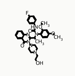 COc1ccc(N(C(=O)Nc2ccc(F)cc2)C(C)c2nc3ccccc3c(=O)n2N2CCN(CCO)CC2)c(OC)c1